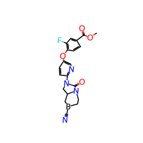 COC(=O)c1ccc(Oc2ccc(N3CC4CB(C#N)CCN4C3=O)nc2)c(F)c1